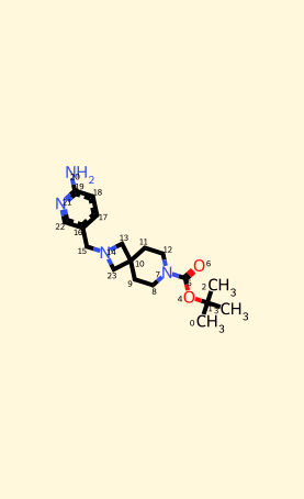 CC(C)(C)OC(=O)N1CCC2(CC1)CN(Cc1ccc(N)nc1)C2